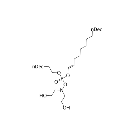 CCCCCCCCCCCCCCCCC=COP(=O)(OCCCCCCCCCCCC)ON(CCO)CCO